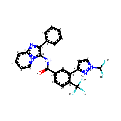 O=C(Nc1c(-c2ccccc2)nc2ccccn12)c1ccc(C(F)(F)F)c(-c2ccn(C(F)F)n2)c1